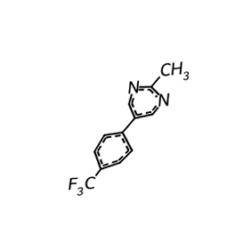 Cc1ncc(-c2ccc(C(F)(F)F)cc2)cn1